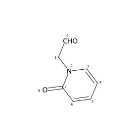 O=CCn1ccccc1=O